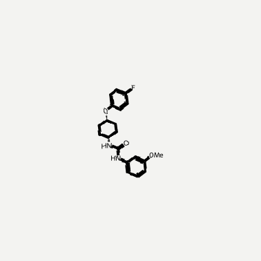 COc1cccc(NC(=O)N[C@H]2CC[C@@H](Oc3ccc(F)cc3)CC2)c1